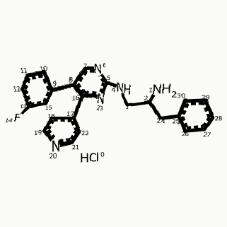 Cl.NC(CNc1ncc(-c2cccc(F)c2)c(-c2ccncc2)n1)Cc1ccccc1